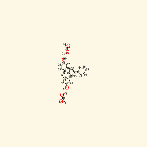 CC(c1ccc(OCCOC2CO2)cc1)(c1ccc(OCCOC2CO2)cc1)c1ccc(C2CCCCC2)cc1